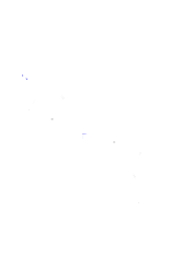 CN(C)c1ccc(/C=C/c2oc3ccccc3c(=O)c2C=O)cc1